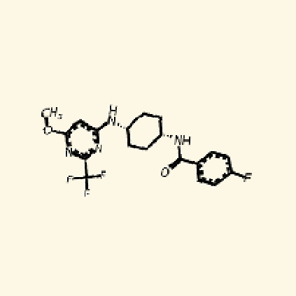 COc1cc(N[C@H]2CC[C@@H](NC(=O)c3ccc(F)cc3)CC2)nc(C(F)(F)F)n1